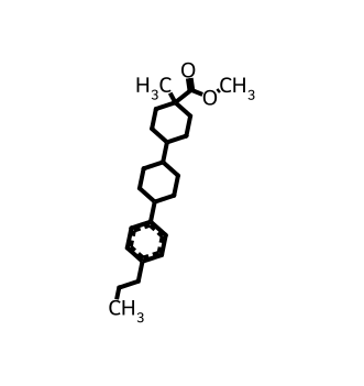 CCCc1ccc(C2CCC(C3CCC(C)(C(=O)OC)CC3)CC2)cc1